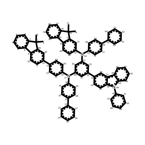 CC1(C)c2ccccc2-c2ccc(-c3ccc(N(c4ccc(-c5ccccc5)cc4)c4cc(-c5ccc6c(c5)c5ccccc5n6-c5ccccc5)cc(N(c5ccc(-c6ccccc6)cc5)c5ccc6c(c5)C(C)(C)c5ccccc5-6)c4)cc3)cc21